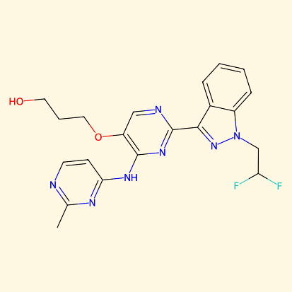 Cc1nccc(Nc2nc(-c3nn(CC(F)F)c4ccccc34)ncc2OCCCO)n1